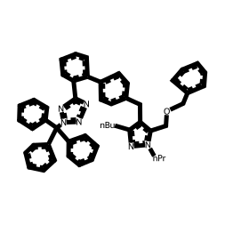 CCCCc1nn(CCC)c(COCc2ccccc2)c1Cc1ccc(-c2ccccc2-c2nnn(C(c3ccccc3)(c3ccccc3)c3ccccc3)n2)cc1